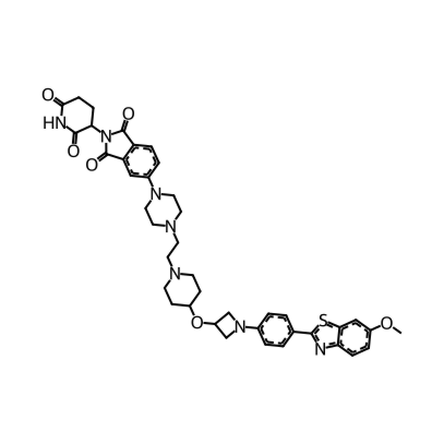 COc1ccc2nc(-c3ccc(N4CC(OC5CCN(CCN6CCN(c7ccc8c(c7)C(=O)N(C7CCC(=O)NC7=O)C8=O)CC6)CC5)C4)cc3)sc2c1